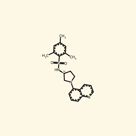 Cc1cc(C)c(S(=O)(=O)N[C@H]2CCN(c3cccc4ncccc34)C2)c(C)c1